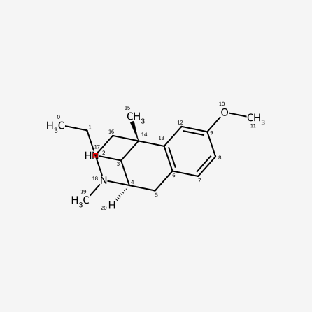 CCNC1[C@H]2Cc3ccc(OC)cc3[C@@]1(C)CCN2C